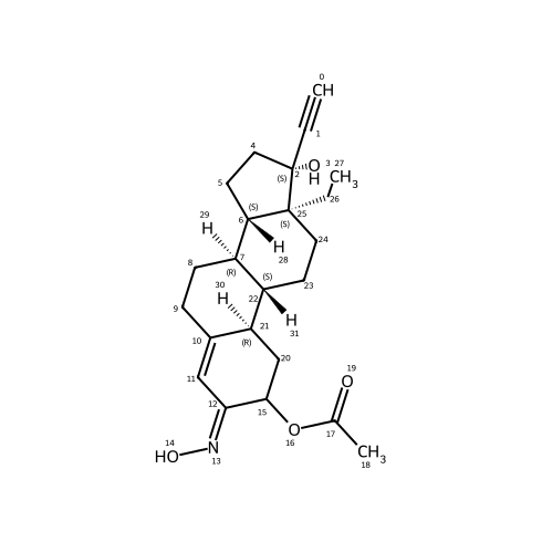 C#C[C@]1(O)CC[C@H]2[C@@H]3CCC4=CC(=NO)C(OC(C)=O)C[C@@H]4[C@H]3CC[C@@]21CC